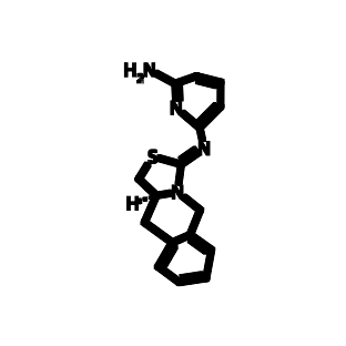 Nc1cccc(N=C2SC[C@@H]3Cc4ccccc4CN23)n1